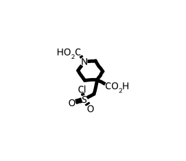 O=C(O)N1CCC(CS(=O)(=O)Cl)(C(=O)O)CC1